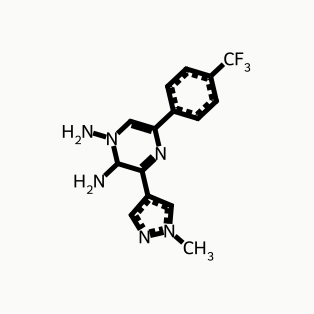 Cn1cc(C2=NC(c3ccc(C(F)(F)F)cc3)=CN(N)C2N)cn1